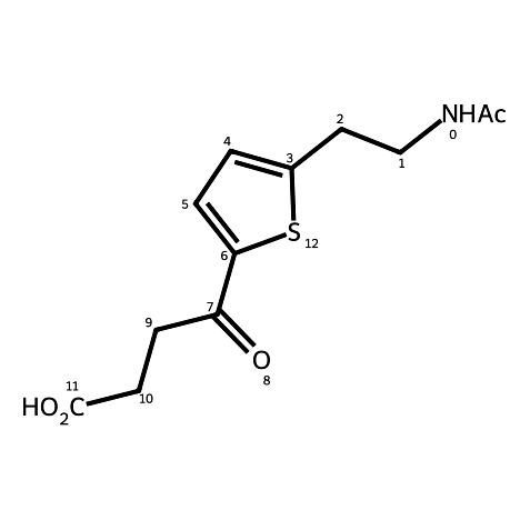 CC(=O)NCCc1ccc(C(=O)CCC(=O)O)s1